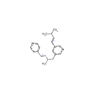 CC(C)/C=C/c1cncc(CC(C)/C=C/c2ccncc2)c1